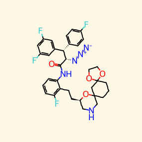 [N-]=[N+]=N[C@H](C(=O)Nc1cccc(F)c1CC[C@@H]1CNCC2(CCCC3(C2)OCCO3)O1)[C@@H](c1ccc(F)cc1)c1cc(F)cc(F)c1